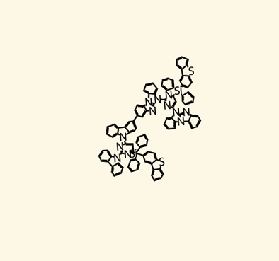 c1ccc([Si](c2ccccc2)(c2ccc3sc4ccccc4c3c2)c2cc(-n3c4ccccc4c4cc(-c5ccc6c(c5)nc5n(-c7nc(-n8c9ccccc9n9c%10ccccc%10nc89)cc([Si](c8ccccc8)(c8ccccc8)c8ccc9sc%10ccccc%10c9c8)n7)c7ccccc7n65)ccc43)nc(-n3c4ccccc4c4ccccc43)n2)cc1